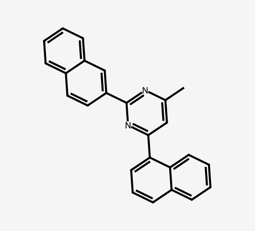 Cc1cc(-c2cccc3ccccc23)nc(-c2ccc3ccccc3c2)n1